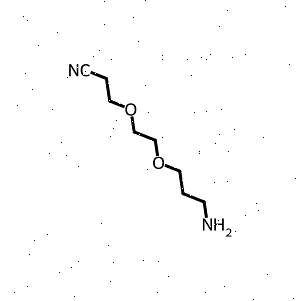 N#CCCOCCOCCCN